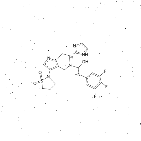 O=S1(=O)CCCN1c1cnn2c1CN(C(O)Nc1cc(F)c(F)c(F)c1)[C@@H](c1ncc[nH]1)C2